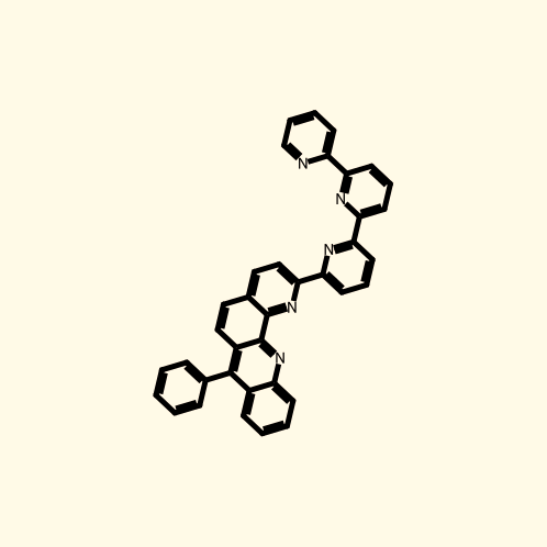 c1ccc(-c2c3ccccc3nc3c2ccc2ccc(-c4cccc(-c5cccc(-c6ccccn6)n5)n4)nc23)cc1